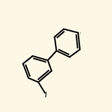 Ic1cccc(-c2cc[c]cc2)c1